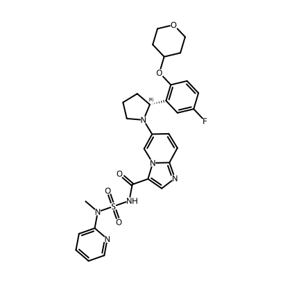 CN(c1ccccn1)S(=O)(=O)NC(=O)c1cnc2ccc(N3CCC[C@@H]3c3cc(F)ccc3OC3CCOCC3)cn12